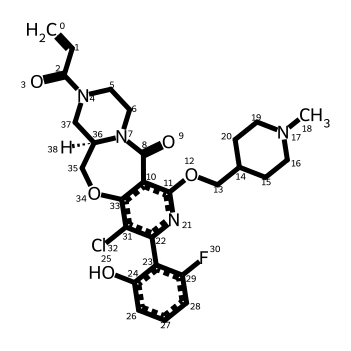 C=CC(=O)N1CCN2C(=O)c3c(OCC4CCN(C)CC4)nc(-c4c(O)cccc4F)c(Cl)c3OC[C@H]2C1